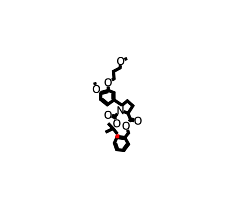 COCCCOc1cc(C2CCC(C(=O)OCc3ccccc3)N2C(=O)OC(C)(C)C)ccc1OC